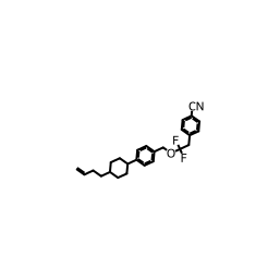 C=CCCC1CCC(c2ccc(COC(F)(F)Cc3ccc(C#N)cc3)cc2)CC1